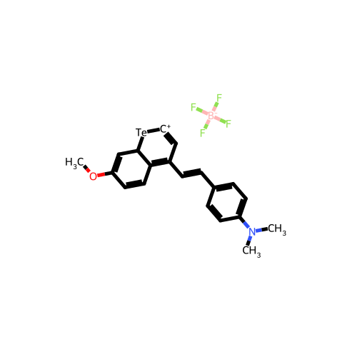 COC1=CC2[Te][C+]=CC(C=Cc3ccc(N(C)C)cc3)=C2C=C1.F[B-](F)(F)F